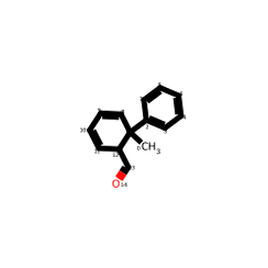 CC1(c2ccccc2)C=CC=CC1[C]=O